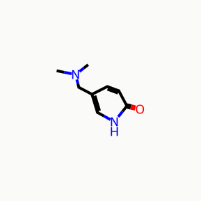 CN(C)Cc1ccc(=O)[nH]c1